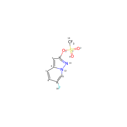 O=S(=O)(Oc1cc2ccc(F)cn2n1)C(F)(F)F